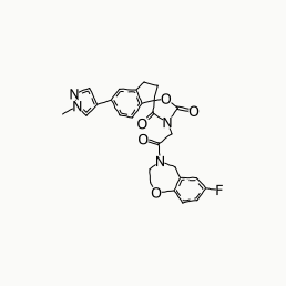 Cn1cc(-c2ccc3c(c2)CCC32OC(=O)N(CC(=O)N3CCOc4ccc(F)cc4C3)C2=O)cn1